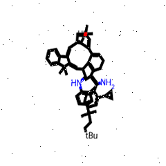 CBc1c2cc(C)cc1C1=CCCC(/C(C)=C(\N)c3ccccc3C3CC3)=C1C(CNc1ccc(C(C)(C)CCC(C)(C)C)cc1C)/C=C1\C(=C/2)c2ccccc2C1(C)C